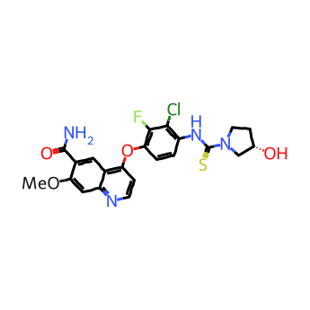 COc1cc2nccc(Oc3ccc(NC(=S)N4CC[C@H](O)C4)c(Cl)c3F)c2cc1C(N)=O